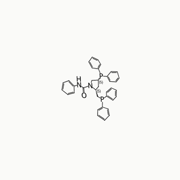 O=C(Nc1ccccc1)N1C[C@@H](P(c2ccccc2)c2ccccc2)C[C@H]1CP(c1ccccc1)c1ccccc1